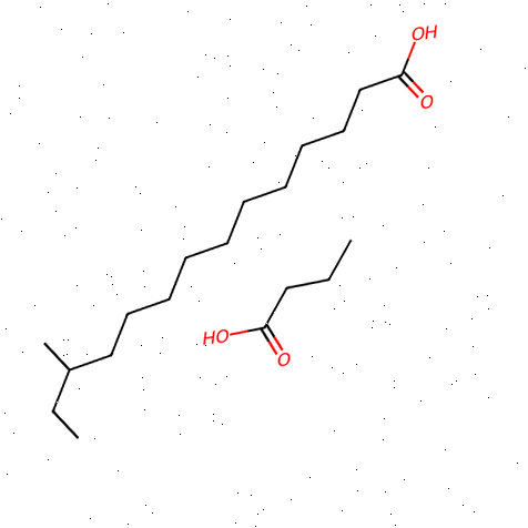 CCC(C)CCCCCCCCCCC(=O)O.CCCC(=O)O